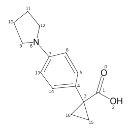 O=C(O)C1(c2ccc(N3CCCC3)cc2)CC1